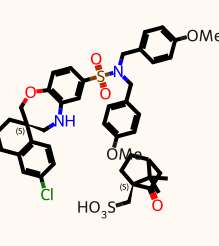 CC1(C)C2CC[C@@]1(CS(=O)(=O)O)C(=O)C2.COc1ccc(CN(Cc2ccc(OC)cc2)S(=O)(=O)c2ccc3c(c2)NC[C@@]2(CCCc4cc(Cl)ccc42)CO3)cc1